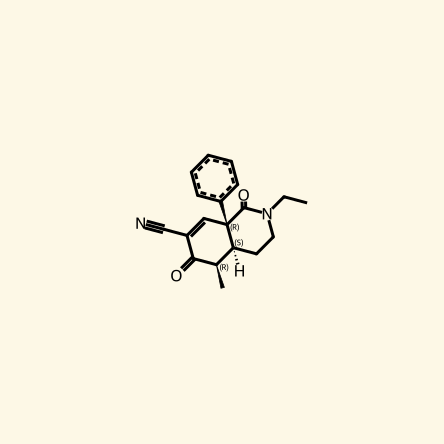 CCN1CC[C@H]2[C@@H](C)C(=O)C(C#N)=C[C@]2(c2ccccc2)C1=O